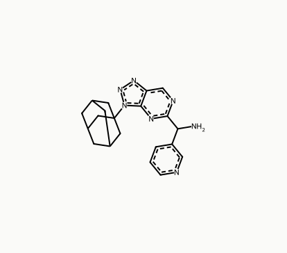 NC(c1cccnc1)c1ncc2nnn(C34CC5CC(CC(C5)C3)C4)c2n1